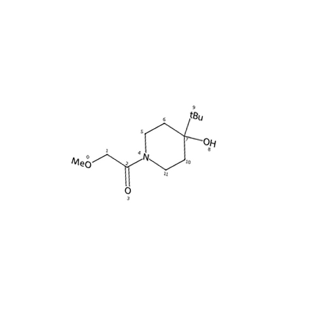 COCC(=O)N1CCC(O)(C(C)(C)C)CC1